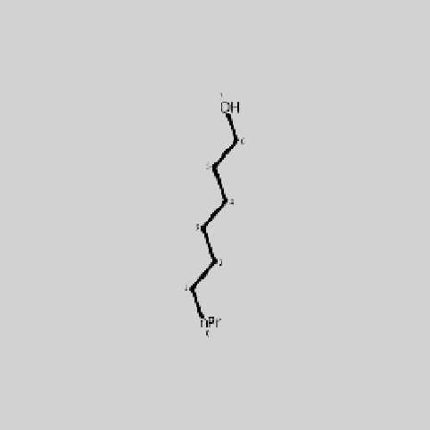 CCCCCCC[CH]CO